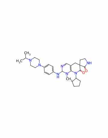 CC(C)N1CCN(c2ccc(NC3N=CC4=C(N3C)N(C3CCCC3)C(=O)C3(CCNC3=O)C4)cc2)CC1